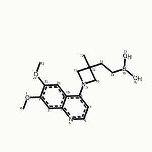 COc1cc2nccc(N3CC(C)(CCB(O)O)C3)c2cc1OC